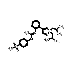 CC(C)C[N+]1(CC(C)C)C=C(c2ccccc2/N=C(\N)Nc2ccc(S(N)(=O)=O)cc2)C=N1